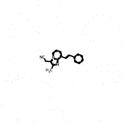 Cc1nc2c(C=Cc3ccccc3)cccn2c1CC#N